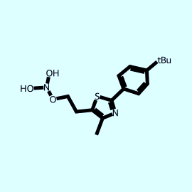 Cc1nc(-c2ccc(C(C)(C)C)cc2)sc1CCON(O)O